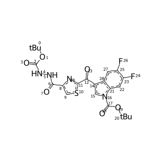 CC(C)(C)OC(=O)NNC(=O)c1csc(C(=O)c2cn(C(=O)OC(C)(C)C)c3cc(F)c(F)cc23)n1